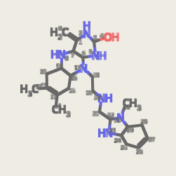 C=C1NC(O)NC2C1NC1CC(C)=C(C)CC1N2CCNCC1NC2CC=CCC2N1C